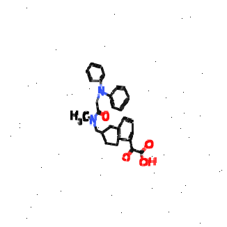 CN(CC1CCc2c(cccc2C(=O)C(=O)O)C1)C(=O)CN(c1ccccc1)c1ccccc1